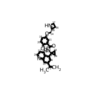 C=C(C)c1cc(C2(NC(=O)c3cc(OC[C@@H]4CCN4)ccc3C)CC2)c2cccnc2c1